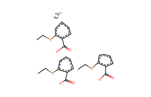 CCSc1ccccc1C(=O)[O-].CCSc1ccccc1C(=O)[O-].CCSc1ccccc1C(=O)[O-].[Hg+2].[Na+]